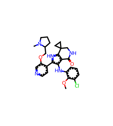 COc1c(Cl)cccc1Nc1c(-c2ccncc2OCC2CCCN2C)[nH]c2c1C(=O)NCC21CC1